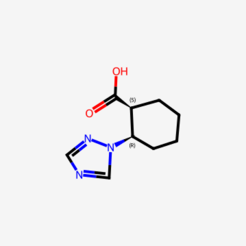 O=C(O)[C@H]1CCCC[C@H]1n1cncn1